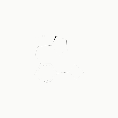 O=C(O)[C@@H](Cc1cccc(C2CCC2)c1)[C@H]1CCNC1